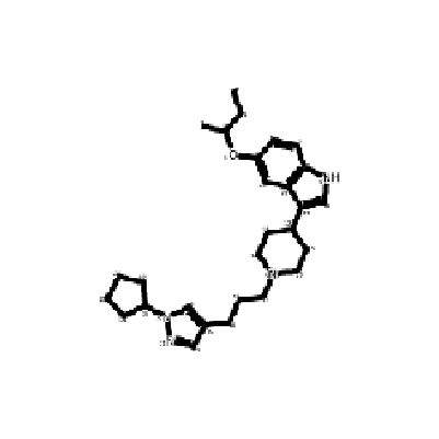 CCC(C)Oc1ccc2[nH]cc(C3CCN(CCCc4cnn(C5CCCC5)c4)CC3)c2c1